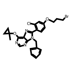 CC1(Oc2ncnc3c2nc(-c2ccc(OCCCBr)cc2Cl)n3Cc2ccccc2)CC1